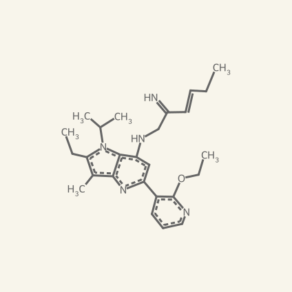 CC/C=C/C(=N)CNc1cc(-c2cccnc2OCC)nc2c(C)c(CC)n(C(C)C)c12